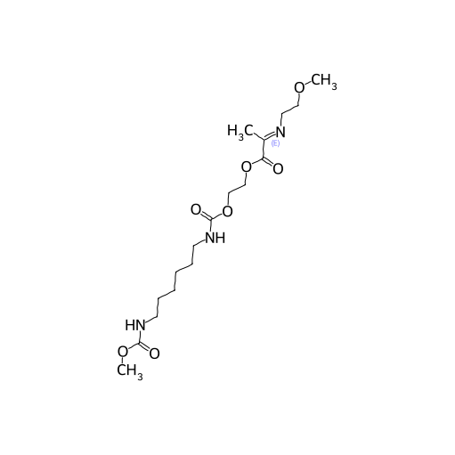 COCC/N=C(\C)C(=O)OCCOC(=O)NCCCCCCNC(=O)OC